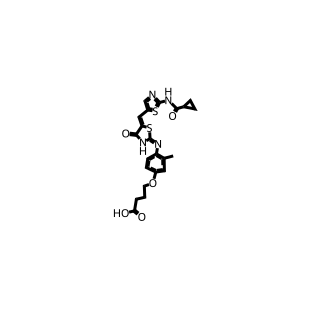 Cc1cc(OCCCC(=O)O)ccc1N=C1NC(=O)C(=Cc2cnc(NC(=O)C3CC3)s2)S1